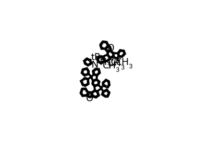 CC(C)(C)c1ccccc1N(c1ccc2c(c1)C(C)(C)c1c3c(c4oc5ccccc5c4c1-2)-c1ccccc1C3(C)C)c1ccc2c(c1)C(c1ccccc1)(c1ccccc1)c1cc3c(cc1-2)C(c1ccccc1)(c1ccccc1)c1ccc2oc4ccccc4c2c1-3